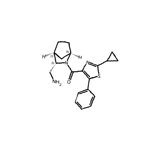 NC[C@@H]1[C@H]2CC[C@H](C2)N1C(=O)c1nc(C2CC2)sc1-c1ccccc1